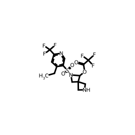 CCc1cc(C(F)(F)F)ncc1S(=O)(=O)N1CC2(CNC2)C1OC(=O)C(F)(F)F